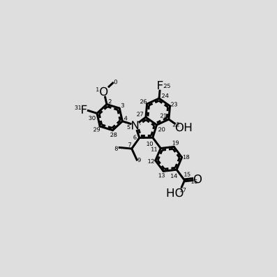 COc1cc(-n2c(C(C)C)c(-c3ccc(C(=O)O)cc3)c3c(O)cc(F)cc32)ccc1F